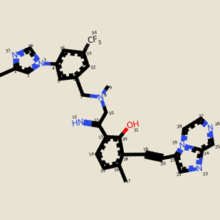 Cc1cn(-c2cc(CN(C)CC(=N)c3ccc(C)c(C#Cc4cnc5cnccn45)c3O)cc(C(F)(F)F)c2)cn1